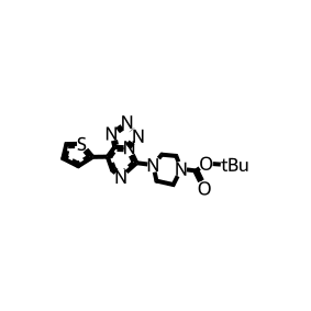 CC(C)(C)OC(=O)N1CCN(c2ncc(-c3cccs3)c3nnnn23)CC1